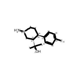 CC(C)(O)[C@@H]1CN(N)CC[C@H]1c1ccc(F)cc1